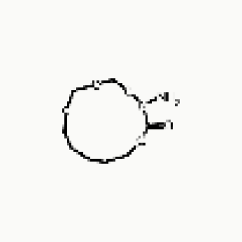 NN1CCCCCCCCCCCC1=O